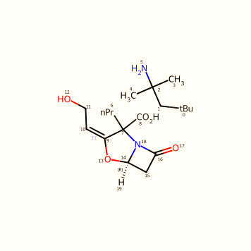 CC(C)(C)CC(C)(C)N.CCCC1(C(=O)O)/C(=C\CO)O[C@@H]2CC(=O)N21